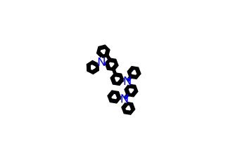 c1ccc(N(c2ccccc2)c2cccc(N(c3ccccc3)c3cccc(-c4ccc5c6ccccc6n(-c6ccccc6)c5c4)c3)c2)cc1